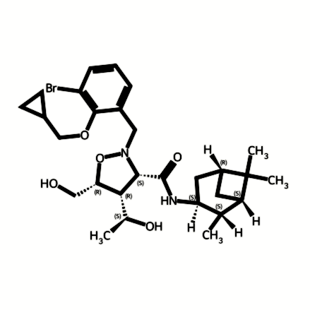 C[C@@H]1[C@@H](NC(=O)[C@@H]2[C@H]([C@H](C)O)[C@H](CO)ON2Cc2cccc(Br)c2OCC2CC2)C[C@H]2C[C@@H]1C2(C)C